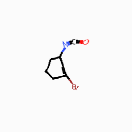 O=C=NC1C=C(Br)CCC1